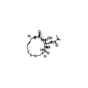 CC(C)[C@H]1NC(=O)[C@H]2CSSCC/C=C/[C@H](CC(=O)N[C@H](CCC(=O)N(C)C)C(=O)N2)OC(=O)C[C@@H]1O